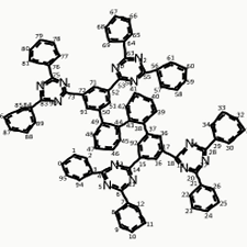 c1ccc(-c2nc(-c3ccccc3)nc(-c3cc(-c4nc(-c5ccccc5)nc(-c5ccccc5)n4)cc(-c4ccccc4-c4ccccc4-c4cc(-c5nc(-c6ccccc6)nc(-c6ccccc6)n5)cc(-c5nc(-c6ccccc6)nc(-c6ccccc6)n5)c4)c3)n2)cc1